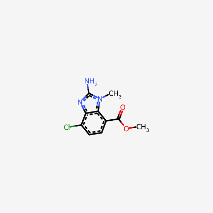 COC(=O)c1ccc(Cl)c2nc(N)n(C)c12